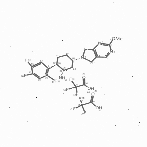 COc1ncc2c(n1)CN([C@H]1CC[C@H](c3cc(F)c(F)cc3F)[C@@H](N)C1)C2.O=C(O)C(F)(F)F.O=C(O)C(F)(F)F